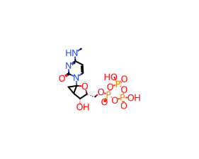 CNc1ccn([C@]23CC2[C@@H](O)[C@@H](COP2(=O)OP(=O)(O)OP(=O)(O)O2)O3)c(=O)n1